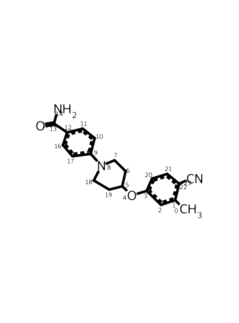 Cc1cc(OC2CCN(c3ccc(C(N)=O)cc3)CC2)ccc1C#N